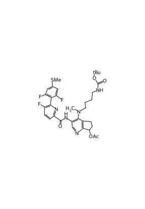 CSc1cc(F)c(-c2nc(C(=O)Nc3cnc4c(c3N(C)CCCCNC(=O)OC(C)(C)C)CCC4OC(C)=O)ccc2F)c(F)c1